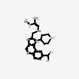 C/C(=C/NCc1nc2cnc3ccc(C(F)F)cc3c2n1C1CCOCC1)N=N